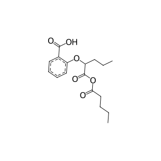 CCCCC(=O)OC(=O)C(CCC)Oc1ccccc1C(=O)O